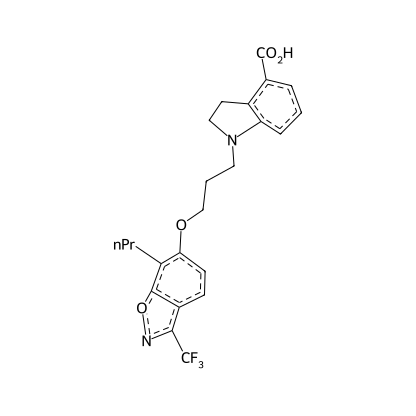 CCCc1c(OCCCN2CCc3c(C(=O)O)cccc32)ccc2c(C(F)(F)F)noc12